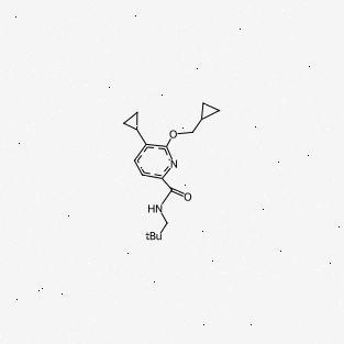 CC(C)(C)CNC(=O)c1ccc(C2CC2)c(OCC2CC2)n1